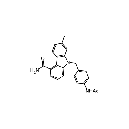 CC(=O)Nc1ccc(Cn2c3cc(C)c[c]c3c3c(C(N)=O)cccc32)cc1